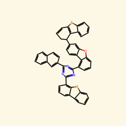 C1=Cc2sc3ccccc3c2C(c2ccc3c(c2)oc2cccc(-c4nc(-c5ccc6ccccc6c5)nc(-c5cccc6c5sc5ccccc56)n4)c23)C1